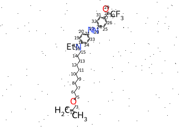 C=C(C)COCCCCCCCCCCCN(CC)c1ccc(/N=N/c2ccc(C(=O)C(F)(F)F)cc2)cc1